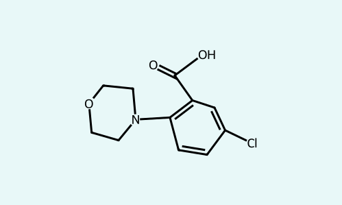 O=C(O)c1cc(Cl)ccc1N1CCOCC1